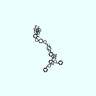 Cc1c(OC2CCC(OC[C@H](C)N3CCN(c4ccc5c(-c6ccc(OCc7ccccc7)nc6OCc6ccccc6)nn(C)c5c4)CC3)CC2)cccc1OS(=O)(=O)C(F)(F)F